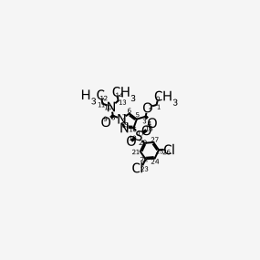 CCOC(=O)c1cn(C(=O)N(CC)CC)nc1S(=O)(=O)c1cc(Cl)cc(Cl)c1